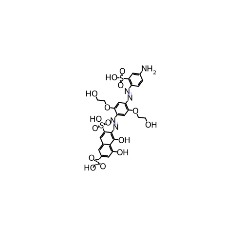 Nc1ccc(/N=N/c2cc(OCCO)c(/N=N/c3c(S(=O)(=O)O)cc4cc(S(=O)(=O)O)cc(O)c4c3O)cc2OCCO)c(S(=O)(=O)O)c1